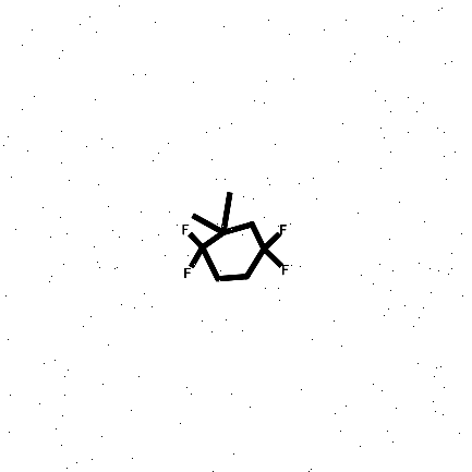 CC1(C)CC(F)(F)CCC1(F)F